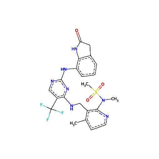 Cc1ccnc(N(C)S(C)(=O)=O)c1CNc1nc(Nc2cccc3c2NC(=O)C3)ncc1C(F)(F)F